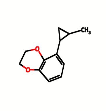 CC1CC1c1cccc2c1OCCO2